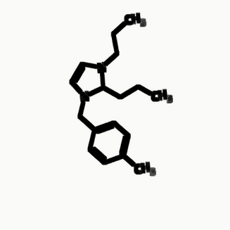 CCCC1N(CCC)C=CN1Cc1ccc(C)cc1